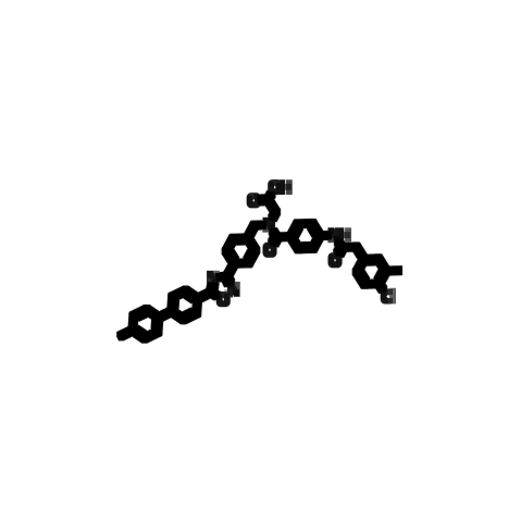 Cc1ccc(-c2ccc(-c3nc(-c4ccc(CN(CC(=O)O)C(=O)c5ccc(NC(=O)Cc6ccc(Cl)c(C)c6)cc5)cc4)no3)cc2)cc1